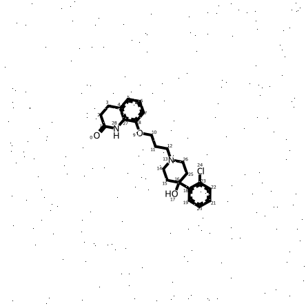 O=C1CCc2cccc(OCCCN3CCC(O)(c4ccccc4Cl)CC3)c2N1